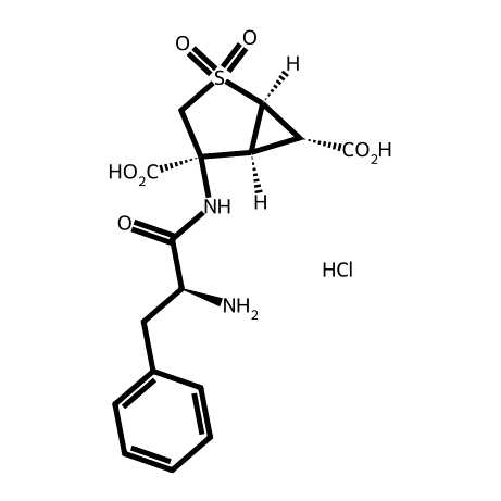 Cl.N[C@@H](Cc1ccccc1)C(=O)N[C@@]1(C(=O)O)CS(=O)(=O)[C@H]2[C@H](C(=O)O)[C@H]21